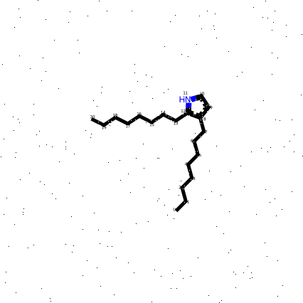 CCCCCCCCc1cc[nH]c1CCCCCCCC